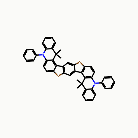 CC1(C)c2ccccc2N(c2ccccc2)c2ccc3sc4cc5c(cc4c3c21)sc1ccc2c(c15)C(C)(C)c1ccccc1N2c1ccccc1